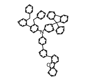 c1ccc(Cc2ccccc2-c2ccc(N(c3ccc(-c4cccc(-c5cccc6c5oc5ccccc56)c4)cc3)c3ccc(C4(c5ccccc5)c5ccccc5-c5ccccc54)cc3)cc2Cc2ccccc2)cc1